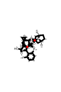 O=C(O)c1cc(F)c2nc(N3[C@@H]4CC[C@H]3CC(OC(=O)c3c(-c5c(F)cccc5F)noc3C3CC3)C4)sc2c1